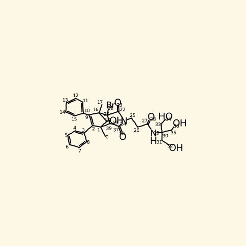 CC12C(c3ccccc3)=C(c3ccccc3)C(C)(C1O)C1(Br)C(=O)N(CCC(=O)NC(CO)(CO)CO)C(=O)C21